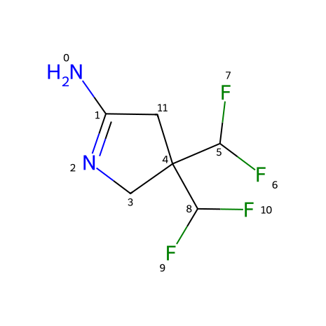 NC1=NCC(C(F)F)(C(F)F)C1